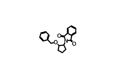 O=C1c2ccccc2C(=O)N1C1CCCC1OCc1ccccc1